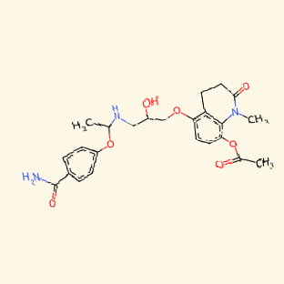 CC(=O)Oc1ccc(OCC(O)CNC(C)Oc2ccc(C(N)=O)cc2)c2c1N(C)C(=O)CC2